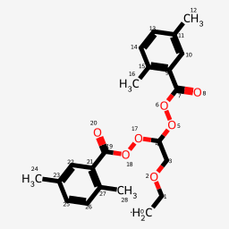 [CH2]COC[C](OOC(=O)c1cc(C)ccc1C)OOC(=O)c1cc(C)ccc1C